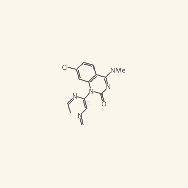 C=N/C=C(\N=C/C)n1c(=O)nc(NC)c2ccc(Cl)cc21